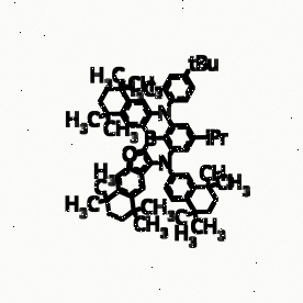 Cc1cc(C(C)(C)C)ccc1N1c2cc3c(cc2B2c4oc5cc6c(cc5c4N(c4ccc5c(c4)C(C)(C)CCC5(C)C)c4cc(C(C)C)cc1c42)C(C)(C)CCC6(C)C)C(C)(C)CCC3(C)C